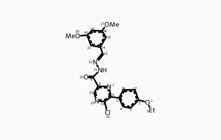 CCOc1ccc(-c2nc(C(=O)NN=Cc3cc(OC)cc(OC)c3)cnc2Cl)cc1